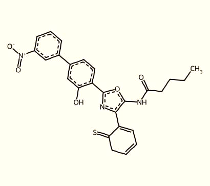 CCCCC(=O)Nc1oc(-c2ccc(-c3cccc([N+](=O)[O-])c3)cc2O)nc1C1=CC=CCC1=S